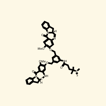 COc1cc2c(cc1OCc1cc(COc3cc4c(cc3OC)C(=O)N3c5ccccc5C[C@H]3CN4)cc(NC(=O)CCC(C)(C)S(C)=S)c1)N=C[C@@H]1Cc3ccccc3N1C2=O